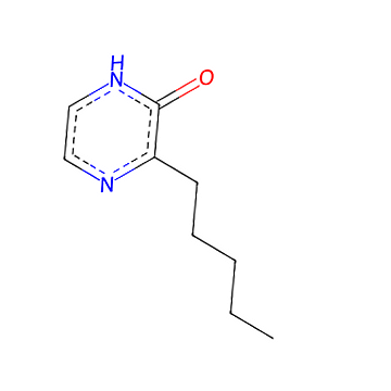 CCCCCc1ncc[nH]c1=O